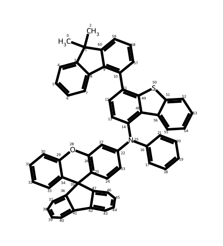 CC1(C)c2ccccc2-c2c(-c3ccc(N(c4ccccc4)c4ccc5c(c4)Oc4ccccc4C54c5ccccc5-c5ccccc54)c4c3sc3ccccc34)cccc21